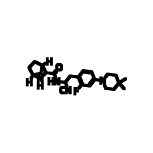 CC1(C)CCN(c2ccc(C[C@@H](C#N)NC(=O)[C@H]3N[C@@H]4CC[C@H]3C4)c(F)c2)CC1